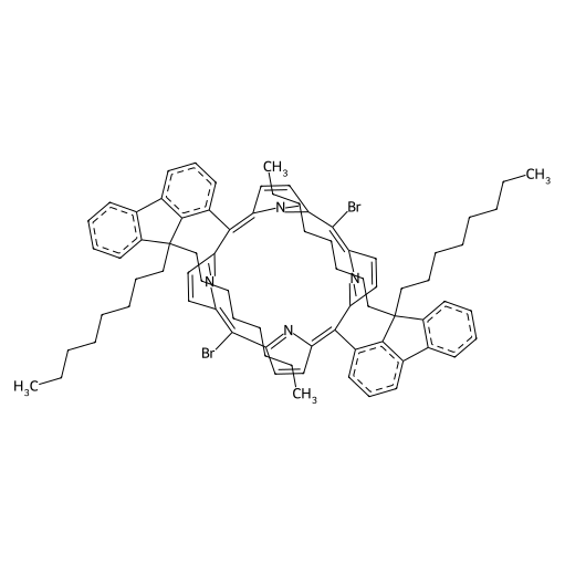 CCCCCCCCC1(CCCCCCCC)c2ccccc2-c2cccc(C3=C4C=CC(=N4)C(Br)=C4C=CC(=N4)C(c4cccc5c4C(CCCCCCCC)(CCCCCCCC)c4ccccc4-5)=C4C=CC(=N4)C(Br)=C4C=CC3=N4)c21